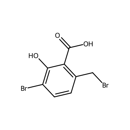 O=C(O)c1c(CBr)ccc(Br)c1O